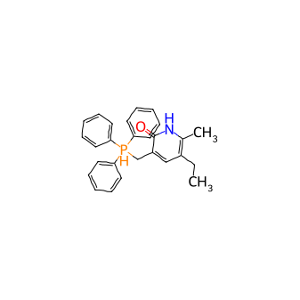 CCc1cc(C[PH](c2ccccc2)(c2ccccc2)c2ccccc2)c(=O)[nH]c1C